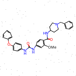 COc1cc(NC(=O)Nc2ccc(Oc3ccccc3)cc2)ccc1C(=O)NC1CCN(Cc2ccccc2)CC1